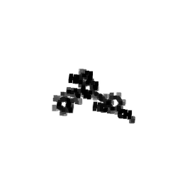 C[C@@H]1CCC[C@@](O)(C#Cc2nc(NCc3ccccn3)c3[nH]cnc3n2)C1